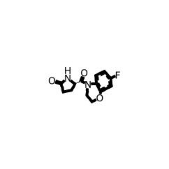 O=C1CC[C@@H](C(=O)N2CCOc3cc(F)ccc32)N1